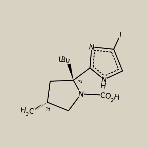 C[C@H]1CN(C(=O)O)[C@](c2nc(I)c[nH]2)(C(C)(C)C)C1